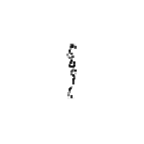 CCCCCCCCCC1CC=C(c2ccc(C3=CCC(CCC)CC3)cc2)CC1